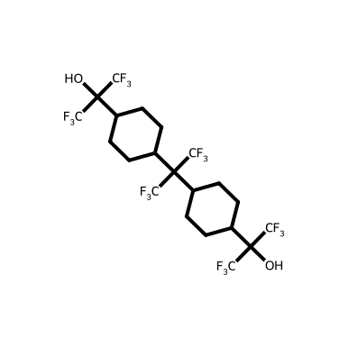 OC(C1CCC(C(C2CCC(C(O)(C(F)(F)F)C(F)(F)F)CC2)(C(F)(F)F)C(F)(F)F)CC1)(C(F)(F)F)C(F)(F)F